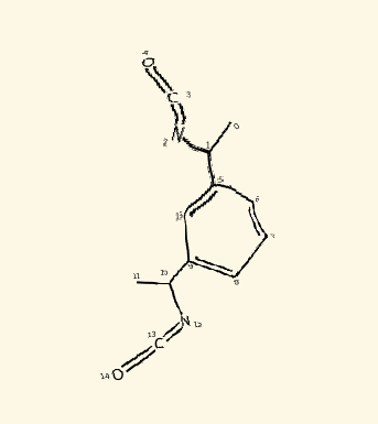 CC(N=C=O)c1cccc(C(C)N=C=O)c1